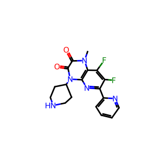 Cn1c(=O)c(=O)n(C2CCNCC2)c2nc(-c3ccccn3)c(F)c(F)c21